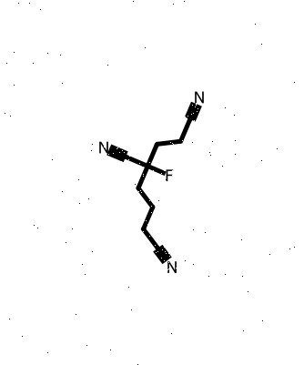 N#CCCCC(F)(C#N)CCC#N